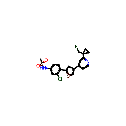 CS(=O)(=O)Nc1ccc(-c2cc(-c3ccnc(C4(CF)CC4)c3)cs2)c(Cl)c1